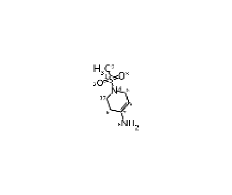 CS(=O)(=O)N1CC=C(N)CC1